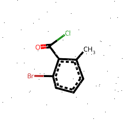 Cc1cccc(Br)c1C(=O)Cl